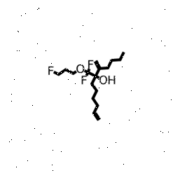 C=CCCCCC(O)(C(=C)CCCC)C(F)(F)OCCCF